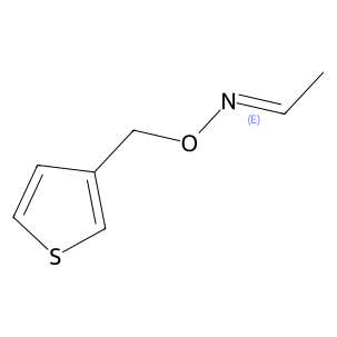 C/C=N/OCc1ccsc1